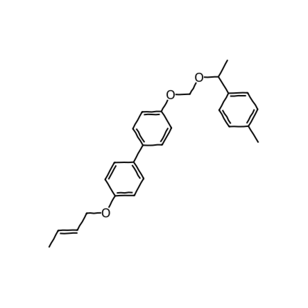 C/C=C/COc1ccc(-c2ccc(OCOC(C)c3ccc(C)cc3)cc2)cc1